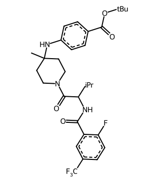 CC(C)C(NC(=O)c1cc(C(F)(F)F)ccc1F)C(=O)N1CCC(C)(Nc2ccc(C(=O)OC(C)(C)C)cc2)CC1